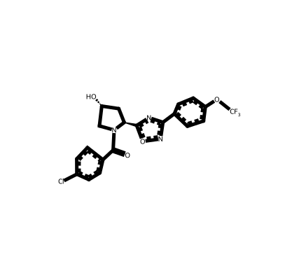 O=C(c1ccc(Cl)cc1)N1C[C@H](O)C[C@H]1c1nc(-c2ccc(OC(F)(F)F)cc2)no1